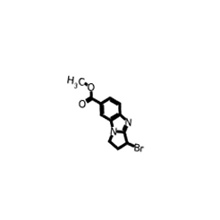 COC(=O)c1ccc2nc3n(c2c1)CCC3Br